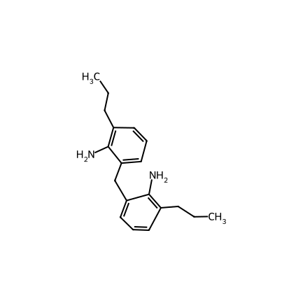 CCCc1cccc(Cc2cccc(CCC)c2N)c1N